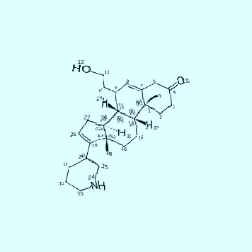 C[C@]12CCC(=O)CC1=CC(CCO)[C@@H]1[C@H]2CC[C@]2(C)C(C3CCCNC3)=CC[C@@H]12